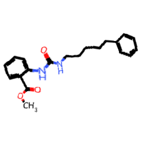 COC(=O)c1ccccc1NC(=O)NCCCCCc1ccccc1